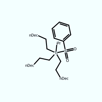 CCCCCCCCCCC[CH2][Ti]([CH2]CCCCCCCCCCC)([CH2]CCCCCCCCCCC)([CH](C)C)[S](=O)(=O)c1ccccc1